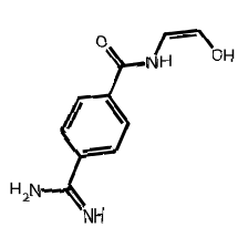 N=C(N)c1ccc(C(=O)N/C=C\O)cc1